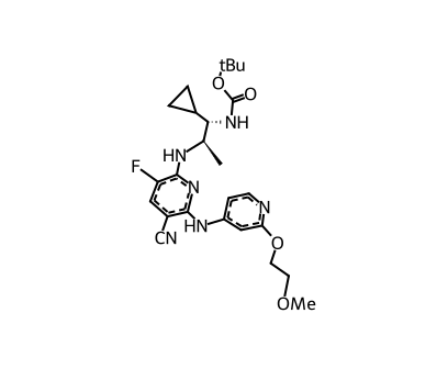 COCCOc1cc(Nc2nc(N[C@H](C)[C@@H](NC(=O)OC(C)(C)C)C3CC3)c(F)cc2C#N)ccn1